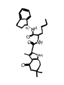 CCCCC(NC(=O)c1[nH]c2c(c1C)C(=O)CC(C)(C)C2)C(=O)N[C@@H]1CCc2ccccc21